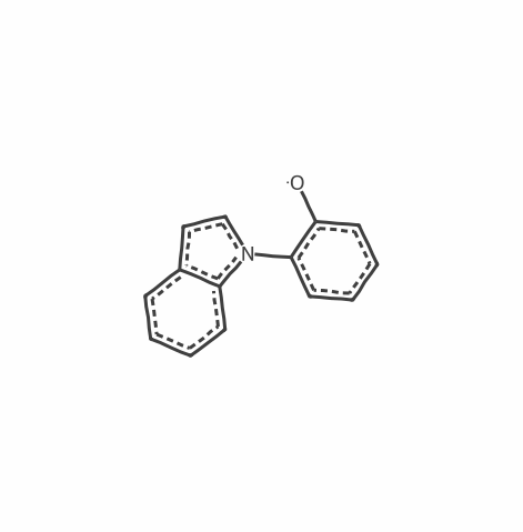 [O]c1ccccc1-n1ccc2ccccc21